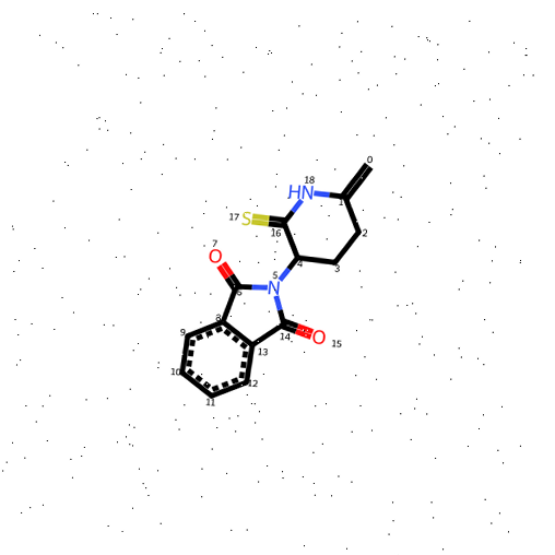 C=C1CCC(N2C(=O)c3ccccc3C2=O)C(=S)N1